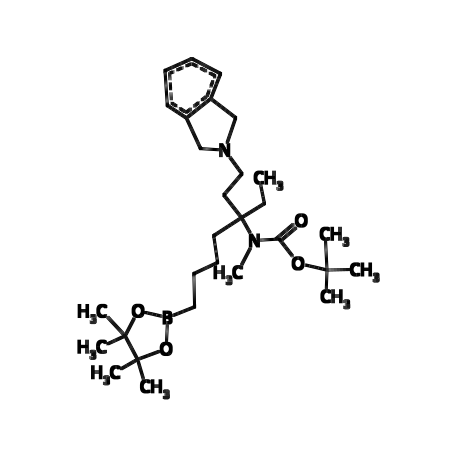 CCC(CCCCB1OC(C)(C)C(C)(C)O1)(CCN1Cc2ccccc2C1)N(C)C(=O)OC(C)(C)C